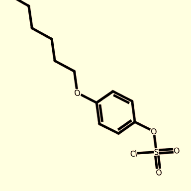 CCCCCCOc1ccc(OS(=O)(=O)Cl)cc1